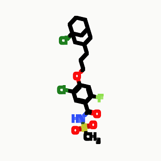 CS(=O)(=O)NC(=O)c1cc(Cl)c(OCCCC2CC3CCCC(Cl)(C2)C3)cc1F